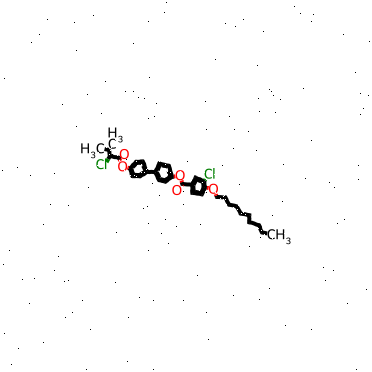 CCCCCCCCCCOc1ccc(C(=O)Oc2ccc(-c3ccc(OC(=O)C(Cl)C(C)C)cc3)cc2)cc1Cl